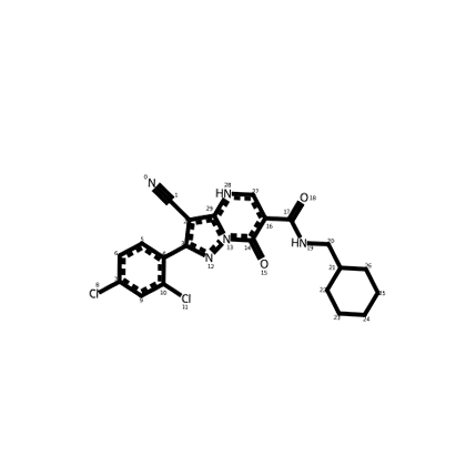 N#Cc1c(-c2ccc(Cl)cc2Cl)nn2c(=O)c(C(=O)NCC3CCCCC3)c[nH]c12